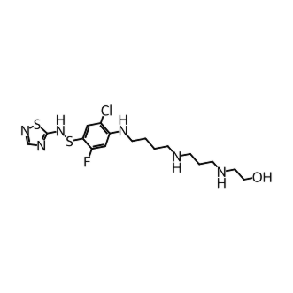 OCCNCCCNCCCCNc1cc(F)c(SNc2ncns2)cc1Cl